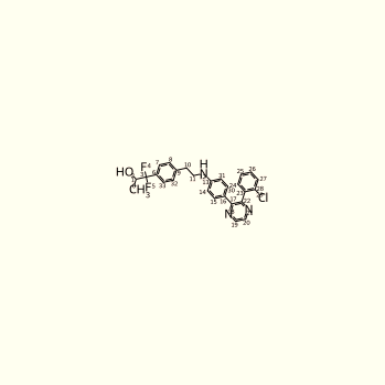 CC(O)C(F)(F)c1ccc(CCNc2ccc(-c3nccnc3-c3ccccc3Cl)cc2)cc1